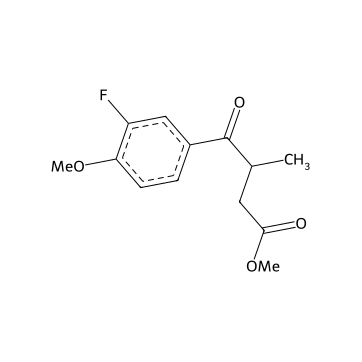 COC(=O)CC(C)C(=O)c1ccc(OC)c(F)c1